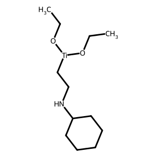 CC[O][Ti]([CH2]CNC1CCCCC1)[O]CC